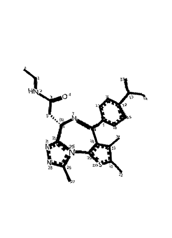 CCNC(=O)C[C@@H]1N=C(c2ccc(C(C)C)cc2)c2c(sc(C)c2C)-n2c(C)nnc21